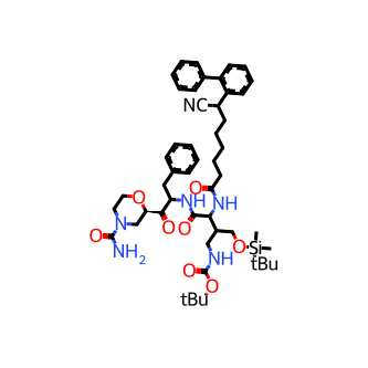 CC(C)(C)OC(=O)NCC(CO[Si](C)(C)C(C)(C)C)C(NC(=O)CCCCCC(C#N)c1ccccc1-c1ccccc1)C(=O)NC(Cc1ccccc1)C(=O)[C@H]1CN(C(N)=O)CCO1